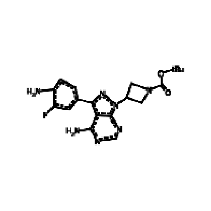 CC(C)(C)OC(=O)N1CC(n2nc(-c3ccc(N)c(F)c3)c3c(N)ncnc32)C1